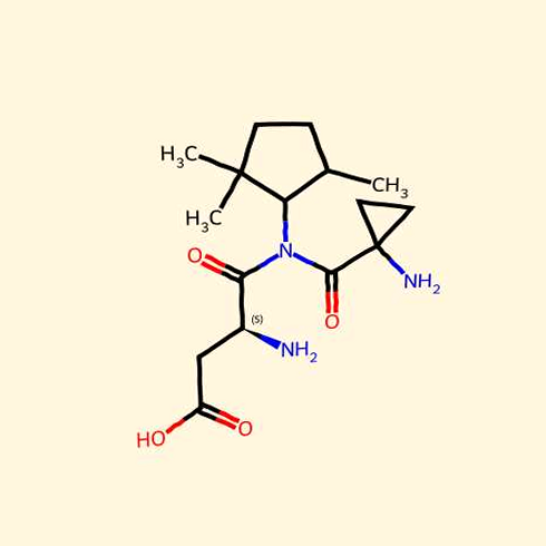 CC1CCC(C)(C)C1N(C(=O)[C@@H](N)CC(=O)O)C(=O)C1(N)CC1